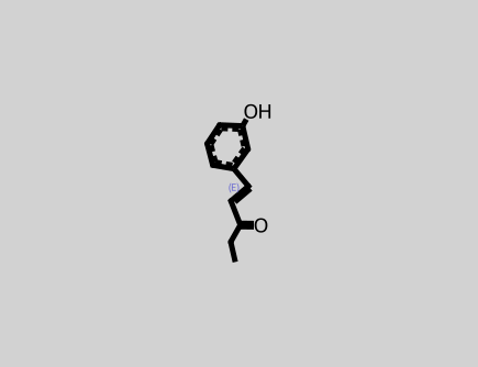 CCC(=O)/C=C/c1cccc(O)c1